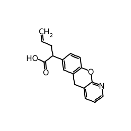 C=CCC(C(=O)O)c1ccc2c(c1)Cc1cccnc1O2